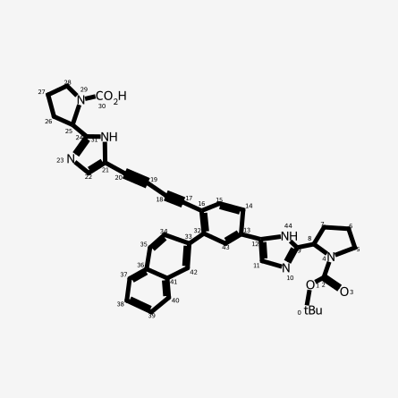 CC(C)(C)OC(=O)N1CCCC1c1ncc(-c2ccc(C#CC#Cc3cnc(C4CCCN4C(=O)O)[nH]3)c(-c3ccc4ccccc4c3)c2)[nH]1